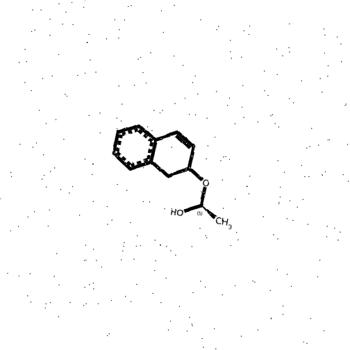 C[C@@H](O)OC1C=Cc2ccccc2C1